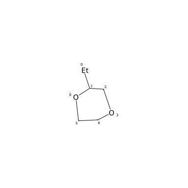 CCC1COCCO1